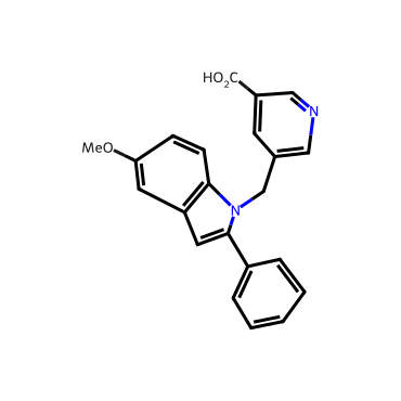 COc1ccc2c(c1)cc(-c1ccccc1)n2Cc1cncc(C(=O)O)c1